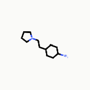 NC1CCC(CCN2CCCC2)CC1